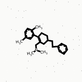 Cc1ccc(C)c(C2=C(CN(C)C)CC(CCc3ccccc3)CC2)c1